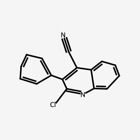 N#Cc1c(-c2ccccc2)c(Cl)nc2ccccc12